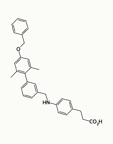 Cc1cc(OCc2ccccc2)cc(C)c1-c1cccc(CNc2ccc(CCC(=O)O)cc2)c1